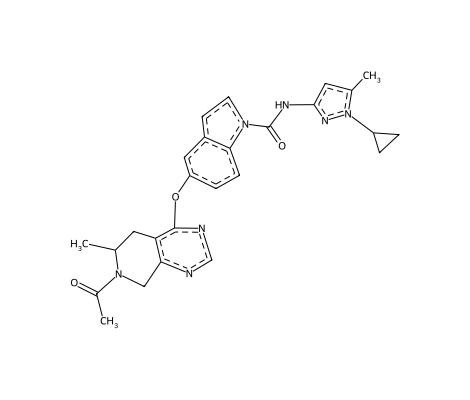 CC(=O)N1Cc2ncnc(Oc3ccc4c(ccn4C(=O)Nc4cc(C)n(C5CC5)n4)c3)c2CC1C